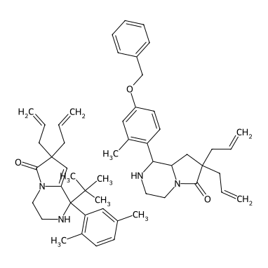 C=CCC1(CC=C)C=C2N(CCNC2(c2cc(C)ccc2C)C(C)(C)C)C1=O.C=CCC1(CC=C)CC2C(c3ccc(OCc4ccccc4)cc3C)NCCN2C1=O